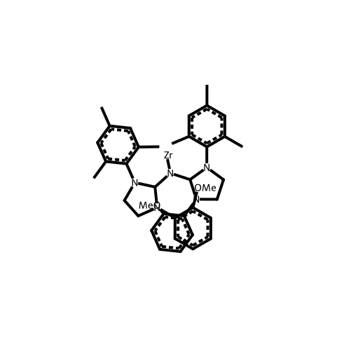 COc1ccccc1N1CCN(c2c(C)cc(C)cc2C)C1[N]([Zr])C1N(c2ccccc2OC)CCN1c1c(C)cc(C)cc1C